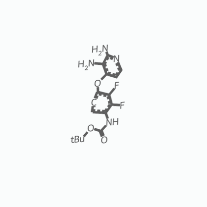 CC(C)(C)OC(=O)Nc1ccc(Oc2ccnc(N)c2N)c(F)c1F